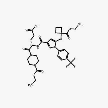 CCOC(=O)N1CCN(C(=O)[C@H](CCC(=O)O)NC(=O)c2cc(OC3(C(=O)OCC)CCC3)n(-c3ccc(C(F)(F)F)cc3)n2)CC1